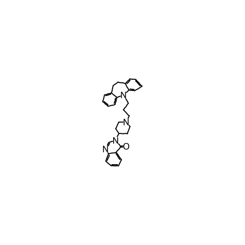 O=c1c2ccccc2ncn1C1CCN(CCCN2c3ccccc3CCc3ccccc32)CC1